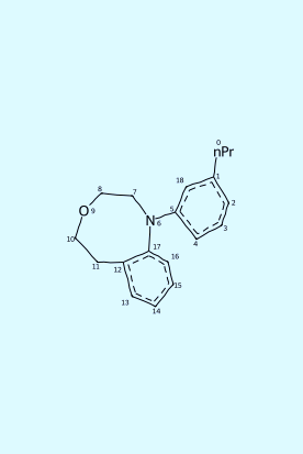 CCCc1cccc(N2CCOCCc3ccccc32)c1